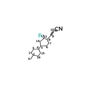 CC1CCC(C2CCC(C#CC#N)C(F)C2)CC1